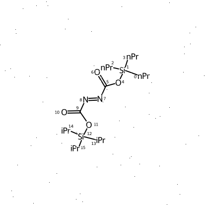 CCC[Si](CCC)(CCC)OC(=O)N=NC(=O)O[Si](C(C)C)(C(C)C)C(C)C